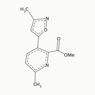 COC(=O)c1nc(C)ccc1-c1cc(C)no1